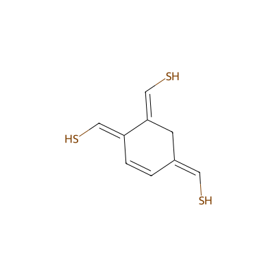 SC=C1C=CC(=CS)C(=CS)C1